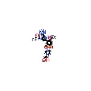 CCCn1c(=O)n2cnnc2c2[nH]c(-c3cc(S(=O)(=O)N4CCN(CCO)CC4)ccc3OCC)cc21